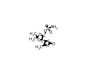 Cc1nc(Cl)sc1[C@H]1OC(C)(C)O[C@@H]1COS(N)(=O)=O